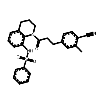 Cc1cc(CCC(=O)N2CCCc3cccc(NS(=O)(=O)c4ccccc4)c32)ccc1C#N